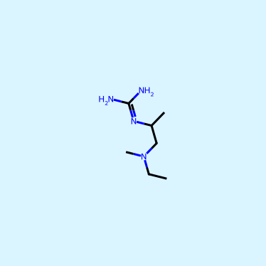 CCN(C)CC(C)N=C(N)N